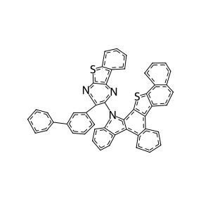 c1ccc(-c2cccc(-c3nc4sc5ccccc5c4nc3-n3c4ccccc4c4c5ccccc5c5c6ccc7ccccc7c6sc5c43)c2)cc1